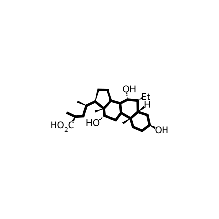 CC[C@H]1[C@@H](O)C2C3CC[C@H]([C@H](C)C[C@H](C)C(=O)O)[C@@]3(C)[C@@H](O)CC2[C@@]2(C)CC[C@H](O)C[C@@H]12